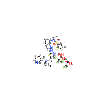 CC(C)N(c1cccc2cc(-c3ncc(CN(C)Cc4cccnc4)s3)[nH]c12)S(=O)(=O)c1cccs1.O=C(O)C(F)(F)F.O=C(O)C(F)(F)F